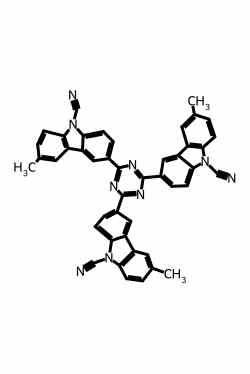 Cc1ccc2c(c1)c1cc(-c3nc(-c4ccc5c(c4)c4cc(C)ccc4n5C#N)nc(-c4ccc5c(c4)c4cc(C)ccc4n5C#N)n3)ccc1n2C#N